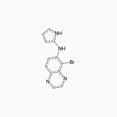 Brc1c(Nc2ccc[nH]2)ccc2nccnc12